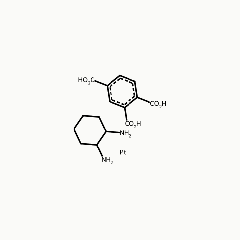 NC1CCCCC1N.O=C(O)c1ccc(C(=O)O)c(C(=O)O)c1.[Pt]